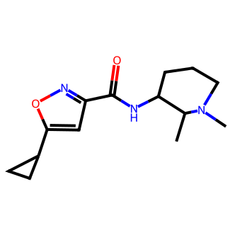 CC1C(NC(=O)c2cc(C3CC3)on2)CCCN1C